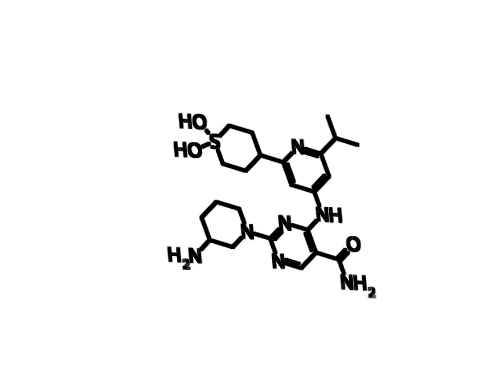 CC(C)c1cc(Nc2nc(N3CCCC(N)C3)ncc2C(N)=O)cc(C2CCS(O)(O)CC2)n1